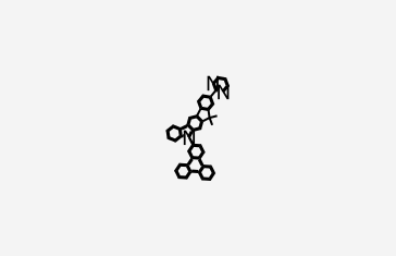 CC1(C)c2cc(-c3ncccn3)ccc2-c2cc3c4ccccc4n(-c4ccc5c6ccccc6c6ccccc6c5c4)c3cc21